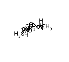 COc1cccc2c(C)c(C(=O)N3CCOc4ccc(-c5ccc6nc(C)[nH]c6c5)cc4C3)[nH]c12